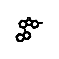 Cc1ccc2c(c1)oc1cccc(-c3cccc4ccccc34)c12